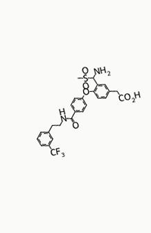 CS(=O)(=O)C(N)c1cc(CC(=O)O)ccc1Oc1ccc(C(=O)NCCc2cccc(C(F)(F)F)c2)cc1